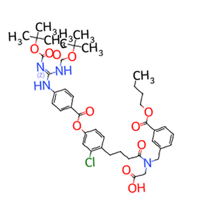 CCCCOC(=O)c1cccc(CN(CC(=O)O)C(=O)CCCc2ccc(OC(=O)c3ccc(N/C(=N/C(=O)OC(C)(C)C)NC(=O)OC(C)(C)C)cc3)cc2Cl)c1